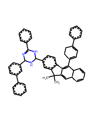 CC1(C)C2=CC3C=CC=CC3C(C3=CC=C(c4ccccc4)CC3)=C2c2ccc(C3NC(c4ccccc4)=NC(c4cccc(-c5ccccc5)c4)N3)cc21